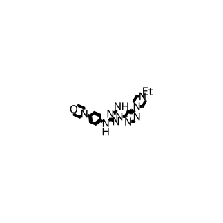 CCN1CCN(c2cc(-n3nc(Nc4ccc(N5CCOCC5)cc4)nc3N)ncn2)CC1